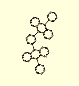 c1ccc(-c2c3ccccc3c(-c3cccc(-c4c5ccccc5c(-c5ccccc5)c5ncccc45)c3)c3ccccc23)cc1